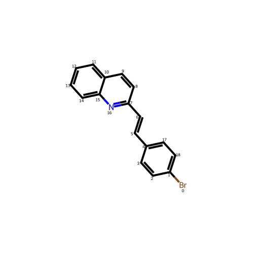 Brc1ccc(C=Cc2ccc3ccccc3n2)cc1